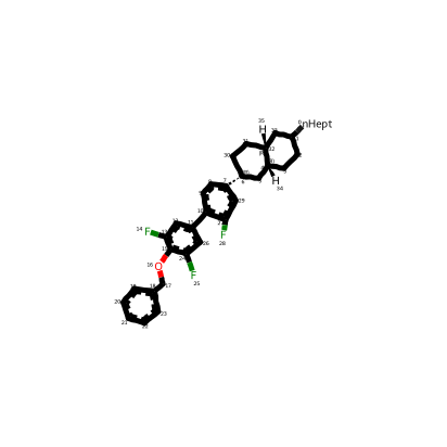 CCCCCCCC1CC[C@@H]2C[C@H](c3ccc(-c4cc(F)c(OCc5ccccc5)c(F)c4)c(F)c3)CC[C@@H]2C1